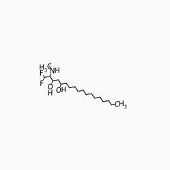 CCCCCCCCCCCCCC(O)CC(O)C(NC)C(F)F